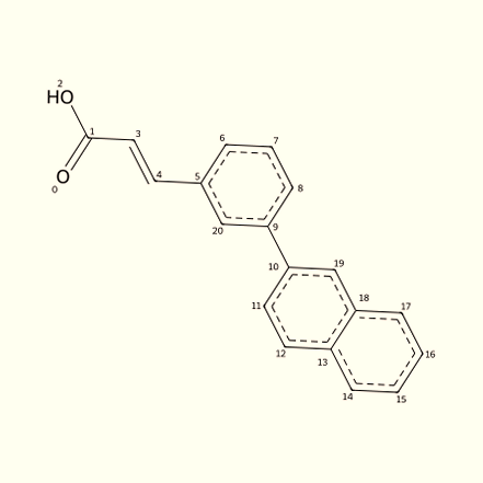 O=C(O)/C=C/c1cccc(-c2ccc3ccccc3c2)c1